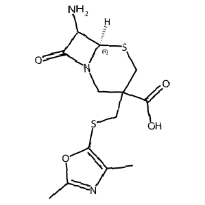 Cc1nc(C)c(SCC2(C(=O)O)CS[C@@H]3C(N)C(=O)N3C2)o1